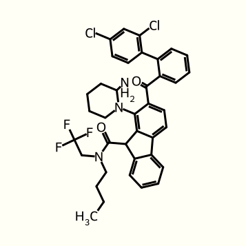 CCCCN(CC(F)(F)F)C(=O)C1c2ccccc2-c2ccc(C(=O)c3ccccc3-c3ccc(Cl)cc3Cl)c(N3CCCCC3N)c21